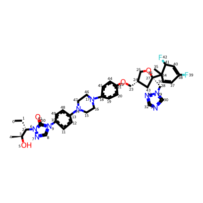 CC[C@@H]([C@H](C)O)n1ncn(-c2ccc(N3CCN(c4ccc(OC[C@@H]5CO[C@@](Cn6cncn6)(C6(C)C=CC(F)=CC6F)C5)cc4)CC3)cc2)c1=O